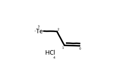 C=CC[Te].Cl